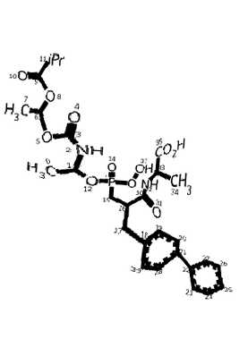 CC(NC(=O)OC(C)OC(=O)C(C)C)OP(=O)(CC(Cc1ccc(-c2ccccc2)cc1)C(=O)NC(C)C(=O)O)OO